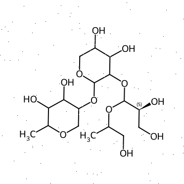 CC(CO)OC(OC1C(OC2COC(C)C(O)C2O)OCC(O)C1O)[C@@H](O)CO